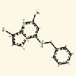 CC(C)(C)c1cc(NCc2ccncc2)n2ncc(Br)c2n1